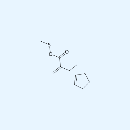 C1=CCCC1.C=C(CC)C(=O)OSC